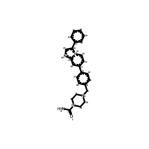 NC(=O)N1CCN(Cc2ccc(-c3ccn4c(-c5ccccc5)cnc4c3)cc2)CC1